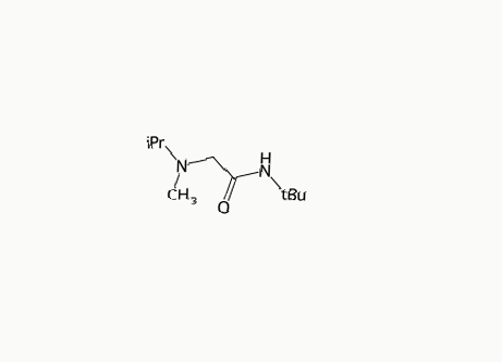 CC(C)N(C)CC(=O)NC(C)(C)C